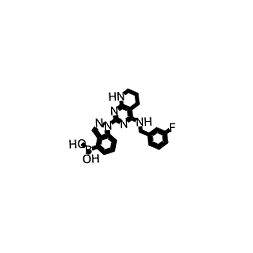 OB(O)c1cccc2c1cnn2-c1nc2c(c(NCc3cccc(F)c3)n1)CCCN2